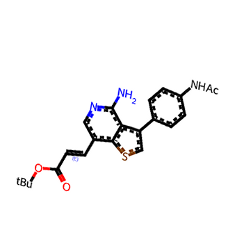 CC(=O)Nc1ccc(-c2csc3c(/C=C/C(=O)OC(C)(C)C)cnc(N)c23)cc1